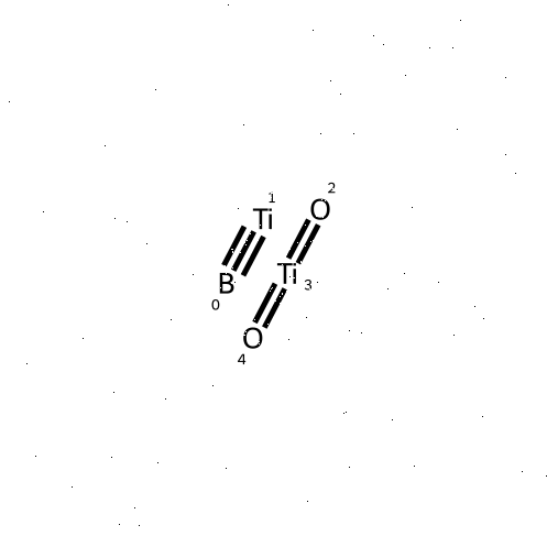 [B]#[Ti].[O]=[Ti]=[O]